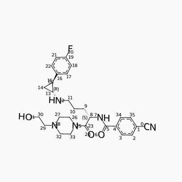 N#Cc1ccc(C(=O)N[C@@H](CCCN[C@@H]2C[C@H]2c2ccc(F)cc2)C(=O)N2CCN(CCO)CC2)cc1